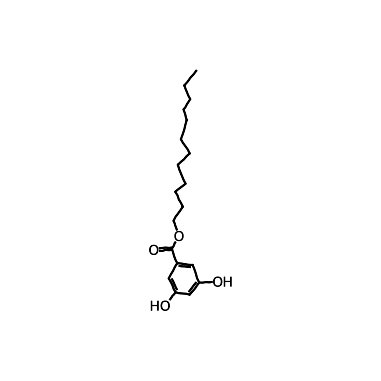 CCCCCCCCCCCCOC(=O)c1cc(O)cc(O)c1